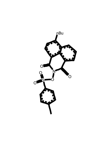 CCCCc1ccc2c3c(cccc13)C(=O)N(OS(=O)(=O)c1ccc(C)cc1)C2=O